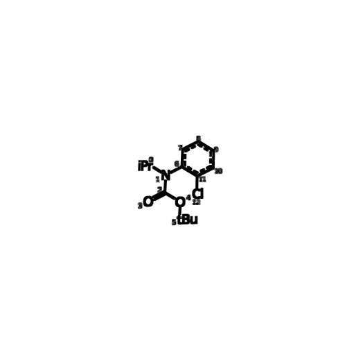 CC(C)N(C(=O)OC(C)(C)C)c1ccccc1Cl